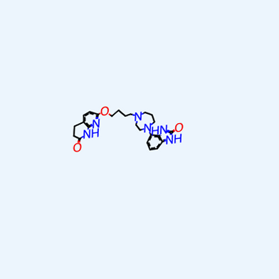 O=C1CCc2ccc(OCCCCN3CCCN(c4cccc5[nH]c(=O)[nH]c45)CC3)nc2N1